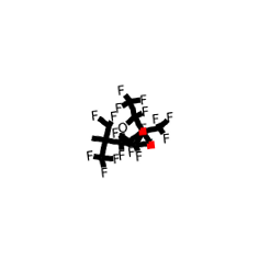 CC(C(F)F)(C(F)(F)F)C(F)(OC(F)(C(F)(F)F)C(C)(C(F)F)C(F)(F)F)C(F)(F)F